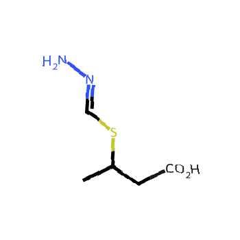 CC(CC(=O)O)SC=NN